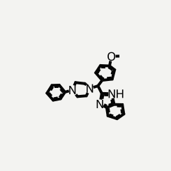 COc1ccc(C(c2nc3ccccc3[nH]2)N2CCN(c3ccccc3)CC2)cc1